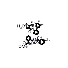 CO/N=C(/C(=O)OC)c1ccccc1CO/N=C(\C)c1cccc(C(F)(F)F)c1.Cn1cc(C(=O)Nc2ccccc2-c2cc(F)c(F)c(F)c2)c(C(F)F)n1